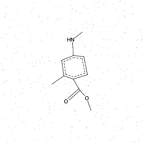 CNc1ccc(C(=O)OC)c(C)c1